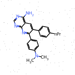 CCCc1ccc(-c2cc3c(N)ncnc3nc2-c2ccc(N(C)C)cc2)cc1